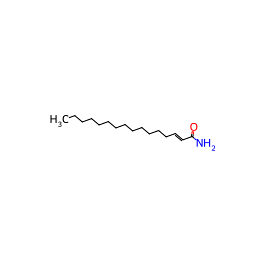 CCCCCCCCCCCCCC=CC(N)=O